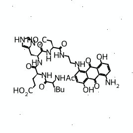 CCC(C)C(NC(C)=O)C(=O)N[C@@H](CCC(=O)O)C(=O)N[C@@H](Cc1c[nH]cn1)C(=O)N[C@@H](CC(=O)O)C(=O)NCCNc1ccc(O)c2c1C(=O)c1c(O)ccc(N)c1C2=O